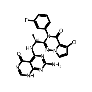 C[C@H](Nc1nc(N)nc2[nH]cnc(=O)c12)c1nn2ccc(Cl)c2c(=O)n1-c1cccc(F)c1